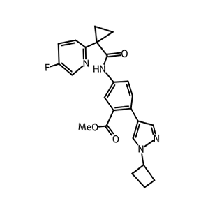 COC(=O)c1cc(NC(=O)C2(c3ccc(F)cn3)CC2)ccc1-c1cnn(C2CCC2)c1